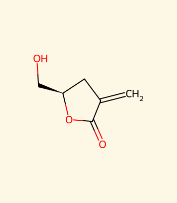 C=C1C[C@H](CO)OC1=O